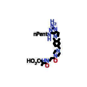 CCCCCNc1nc(N)nc2ccn(Cc3ccc(CN4CCN(C(=O)CCNC(=O)C(C)CC(=O)O)CC4)cc3C)c12